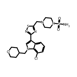 NS(=O)(=O)N1CCN(Cc2nc(-c3cn(CC4CCOCC4)c4c(Cl)cccc34)ns2)CC1